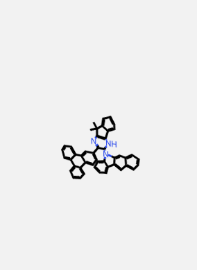 CC1(C)C2=C(NC(n3c4ccccc4c4cc5ccccc5cc43)C(c3ccc4c5ccccc5c5ccccc5c4c3)=N2)c2ccccc21